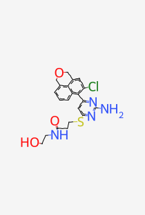 Nc1nc(SCCC(=O)NCCO)cc(-c2c(Cl)cc3c4c(cccc24)COC3)n1